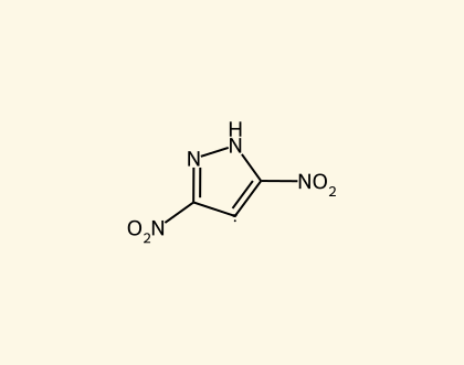 O=[N+]([O-])c1[c]c([N+](=O)[O-])[nH]n1